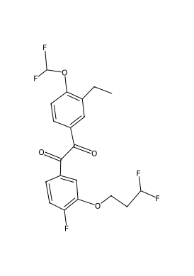 CCc1cc(C(=O)C(=O)c2ccc(F)c(OCCC(F)F)c2)ccc1OC(F)F